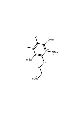 CCCCCCCCCCCCCc1c(OC)c(C)c(C)c(OC)c1OC